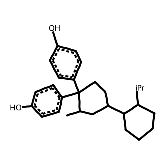 CC(C)C1CCCCC1C1CCC(c2ccc(O)cc2)(c2ccc(O)cc2)C(C)C1